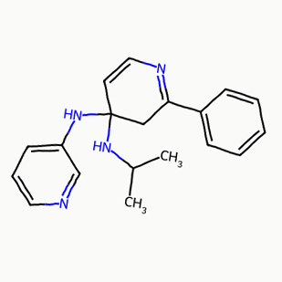 CC(C)NC1(Nc2cccnc2)C=CN=C(c2ccccc2)C1